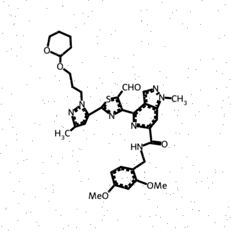 COc1ccc(CNC(=O)c2cc3c(cnn3C)c(-c3nc(-c4cc(C)nn4CCCOC4CCCCO4)sc3C=O)n2)c(OC)c1